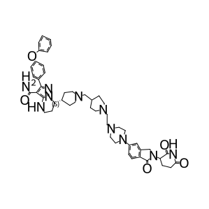 NC(=O)c1c(-c2ccc(Oc3ccccc3)cc2)nn2c1NCC[C@H]2C1CCN(CC2CCN(CCN3CCN(c4ccc5c(c4)CN(C4CCC(=O)NC4=O)C5=O)CC3)CC2)CC1